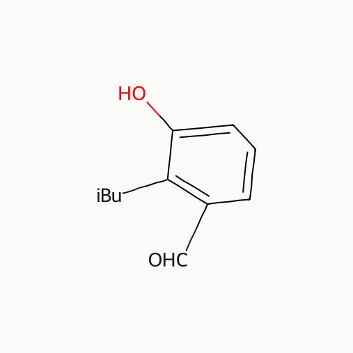 CCC(C)c1c(O)cccc1C=O